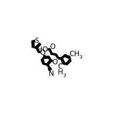 Cc1ccc(C)c(C(CCC(=O)O)Oc2cc(OCc3ccsc3)ccc2C#N)c1